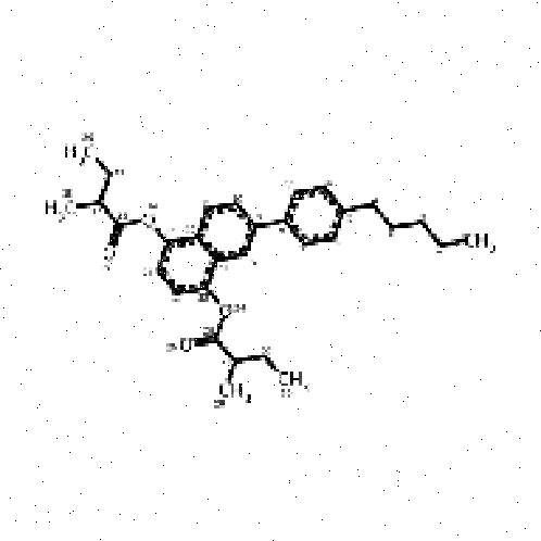 CCCCCc1ccc(-c2ccc3c(OC(=O)C(C)CC)ccc(OC(=O)C(C)CC)c3c2)cc1